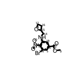 COC(=O)c1cc(Br)c([N+](=O)[O-])c(NCC2CCO2)c1